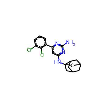 Nc1nc(NC23CC4CC(CC2C4)C3)cc(-c2cccc(Cl)c2Cl)n1